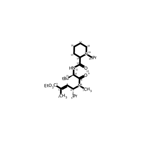 CCOC(=O)/C(C)=C/[C@@H](C(C)C)N(C)C(=O)[C@H](NC(=O)C1CCCCN1C(C)C)C(C)(C)C